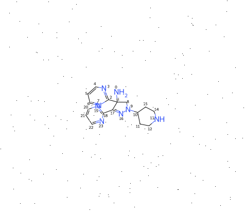 NC1(c2ncccn2)CN(C2CCNCC2)N=C1c1ncccn1